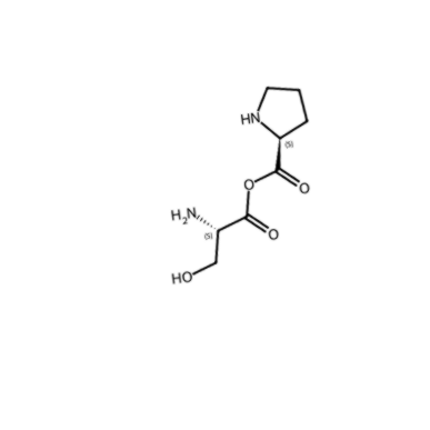 N[C@@H](CO)C(=O)OC(=O)[C@@H]1CCCN1